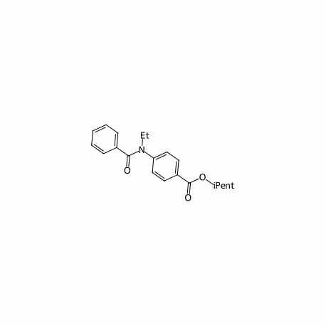 CCCC(C)OC(=O)c1ccc(N(CC)C(=O)c2ccccc2)cc1